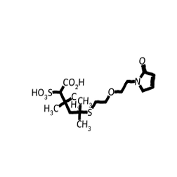 CC(C)(CC(C)(C)C(C(=O)O)S(=O)(=O)O)SCCOCCN1CC=CC1=O